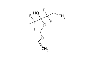 C=COCOC(O)(C(F)(F)F)C(F)(F)CC